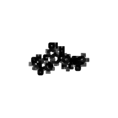 Cc1cc(C)cc(-c2[nH]c3sc(C(C)(C)CC4C5CCC4C(=O)N5)cc3c2CCN2CCC(C(=O)N3CCOCC3)C2)c1